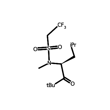 CC(C)C[C@@H](C(=O)C(C)(C)C)N(C)S(=O)(=O)CC(F)(F)F